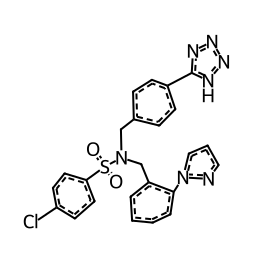 O=S(=O)(c1ccc(Cl)cc1)N(Cc1ccc(-c2nnn[nH]2)cc1)Cc1ccccc1-n1cccn1